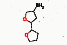 BC1COC(C2CCCO2)C1